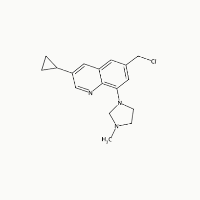 CN1CCN(c2cc(CCl)cc3cc(C4CC4)cnc23)C1